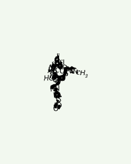 Cc1c(Cl)c2c(Cl)c3c4cc(F)ccc4c4sc5ncnc(c5c4c13)O[C@@H](C(=O)O)Cc1cc(ccc1OCc1ccnc(-c3ccc(OC[C@H]4COCCO4)cc3)n1)OC[C@@H](CN1CCN(C)CC1)O2